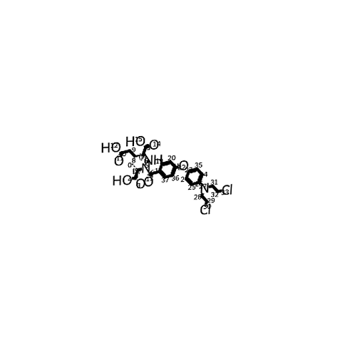 C[C@@H](C(=O)O)N(N[C@@H](CCC(=O)O)C(=O)O)C(=O)c1ccc(Oc2ccc(N(CCCl)CCCl)cc2)cc1